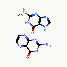 Nc1nc2nc[nH]c2c(=O)[nH]1.Nc1nc2nccnc2c(=O)[nH]1.[Mo]